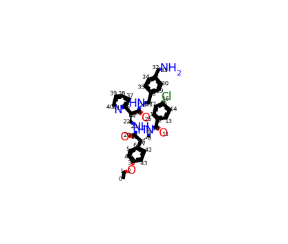 CCOc1ccc([C@@H](CNC(=O)c2ccc(Cl)cc2)C(=O)NC[C@H](C(=O)NCc2ccc(CN)cc2)c2ccccn2)cc1